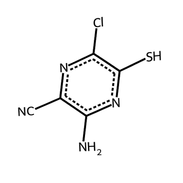 N#Cc1nc(Cl)c(S)nc1N